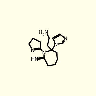 N=C1CCCCC(CCN)(n2ccnc2)N1C1=NCCC1